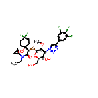 CCN(C(=O)[C@H](S[C@@H]1O[C@H](CO)[C@H](O)[C@H](n2cc(-c3cc(F)c(F)c(F)c3)nn2)[C@H]1OC)C1(O)CCC(F)(F)CC1)C1CC1